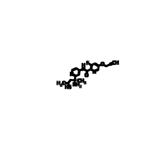 C#CCOc1cnc(C(=O)Nc2ccnc([C@@](C)(N)CC(=C)S)c2)c(F)c1